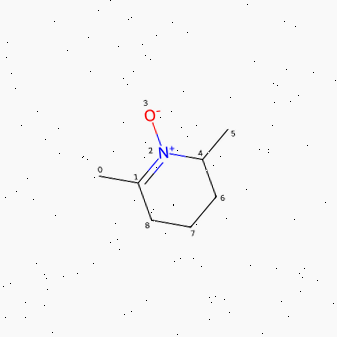 CC1=[N+]([O-])C(C)CCC1